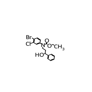 CCOC(=O)N(CCC(O)c1ccccc1)c1ccc(Br)c(Cl)c1